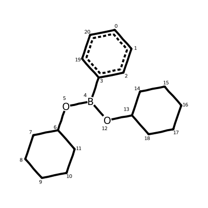 c1ccc(B(OC2CCCCC2)OC2CCCCC2)cc1